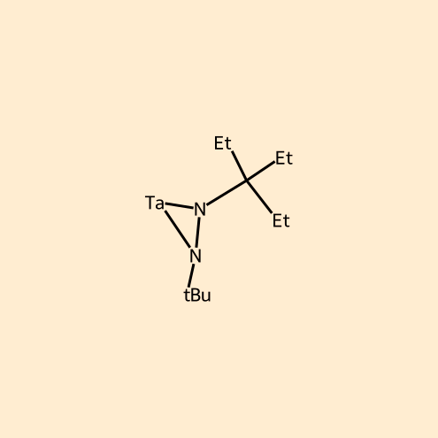 CCC(CC)(CC)[N]1[Ta][N]1C(C)(C)C